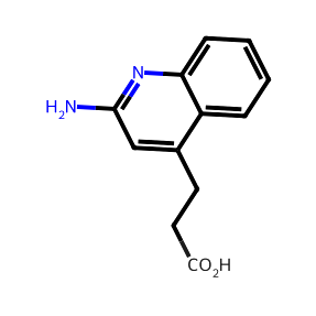 Nc1cc(CCC(=O)O)c2ccccc2n1